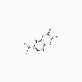 C=C(Cc1cncc(C(C)C)n1)C(C)C